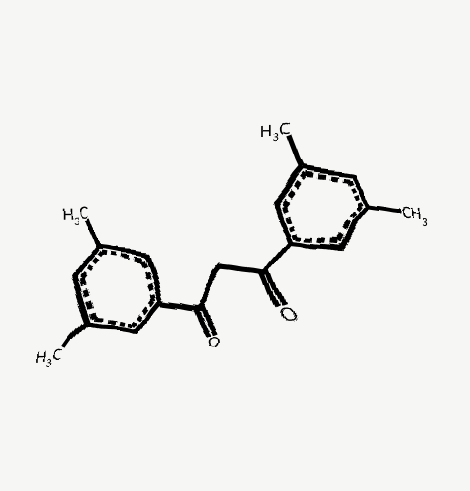 Cc1cc(C)cc(C(=O)CC(=O)c2cc(C)cc(C)c2)c1